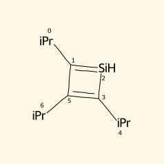 CC(C)C1=[SiH]C(C(C)C)=C1C(C)C